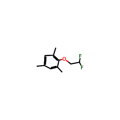 Cc1cc(C)c(OCC(F)F)c(C)c1